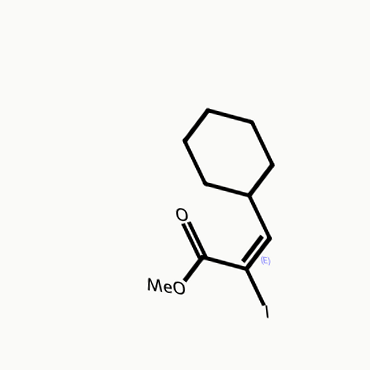 COC(=O)/C(I)=C\C1CCCCC1